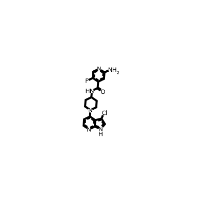 Nc1cc(C(=O)NC2CCN(c3ccnc4[nH]cc(Cl)c34)CC2)c(F)cn1